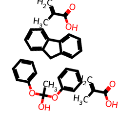 C=C(C)C(=O)O.C=C(C)C(=O)O.CC(O)(Oc1ccccc1)Oc1ccccc1.c1ccc2c(c1)Cc1ccccc1-2